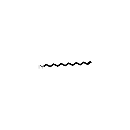 C=CCCCCCCCCCCCC(C)C